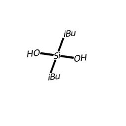 CCC(C)[Si](O)(O)C(C)CC